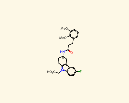 COc1cccc(CCC(=O)N[C@H]2CCc3c(c4cc(F)ccc4n3CC(=O)O)C2)c1OC